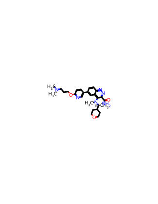 C[C@@H](C1CCOCC1)N(C)c1c(C(N)=O)nnc2ccc(-c3ccc(OCCCN(C)C)nc3)cc12